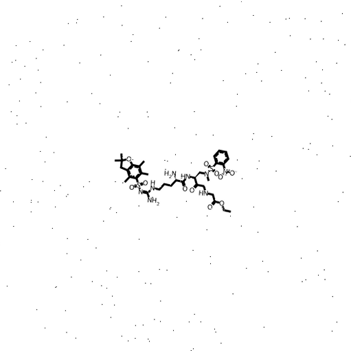 CCOC(=O)CNCC(=O)[C@H](CN(C)S(=O)(=O)c1ccccc1[N+](=O)[O-])NC(=O)[C@@H](N)CCCN/C(N)=N\S(=O)(=O)c1c(C)c(C)c2c(c1C)CC(C)(C)O2